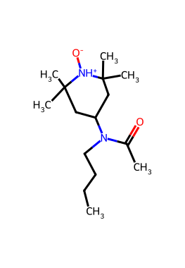 CCCCN(C(C)=O)C1CC(C)(C)[NH+]([O-])C(C)(C)C1